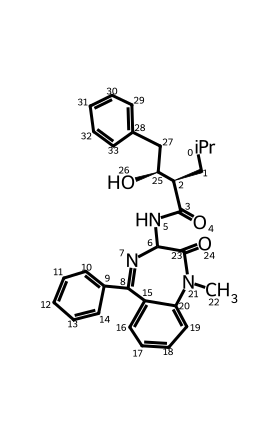 CC(C)C[C@@H](C(=O)NC1N=C(c2ccccc2)c2ccccc2N(C)C1=O)[C@@H](O)Cc1ccccc1